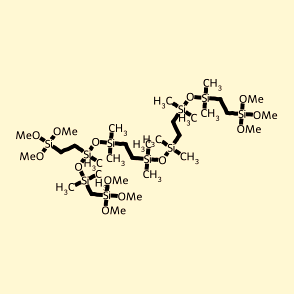 CO[Si](CC[Si](C)(C)O[Si](C)(C)CC[Si](C)(C)O[Si](C)(C)CC[Si](C)(C)O[Si](C)(CC[Si](OC)(OC)OC)O[Si](C)(C)C[Si](OC)(OC)OC)(OC)OC